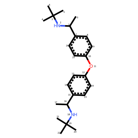 CC(NC(C)(C)C)c1ccc(Oc2ccc(C(C)NC(C)(C)C)cc2)cc1